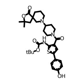 CC(C)(C)OC(=O)Nc1sc(-c2ccc(O)cc2)cc1C(=O)N1CCC(N2CCCC3(C2)CC(C)(C)OC3=O)CC1